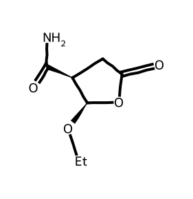 CCO[C@@H]1OC(=O)C[C@@H]1C(N)=O